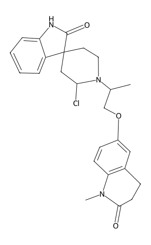 CC(COc1ccc2c(c1)CCC(=O)N2C)N1CCC2(CC1Cl)C(=O)Nc1ccccc12